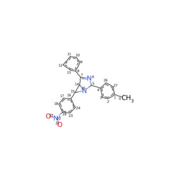 Cc1ccc(C2N=C(c3ccccc3)C3C(c4ccc([N+](=O)[O-])cc4)N23)cc1